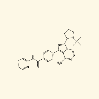 CC(C)(C)N1CCCC1c1nc(-c2ccc(C(=O)Nc3ccccn3)cc2)c2c(N)nccn12